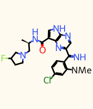 CNc1cc(Cl)ccc1C(=N)c1cnc2[nH]cc(C(=O)N[C@H](C)CN3CCC(F)C3)c2n1